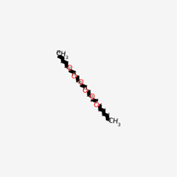 CCCCCCCOCCOCCOCCOCCOCCOCCCCCC